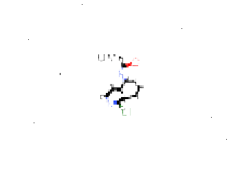 COC(=O)NC1CCCc2c1ccnc2Cl